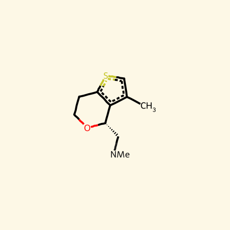 CNC[C@@H]1OCCc2scc(C)c21